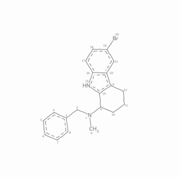 CN(Cc1ccccc1)C1CCCc2c1[nH]c1ccc(Br)cc21